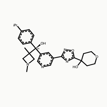 CC(C)c1ccc([C@](O)(c2cncc(-c3noc(C4(O)CCOCC4)n3)c2)C2(C)CN(C)C2)cc1